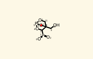 O=P(=O)C1OP2OCC1(CO)CO2